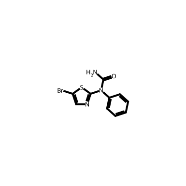 NC(=O)N(c1ccccc1)c1ncc(Br)s1